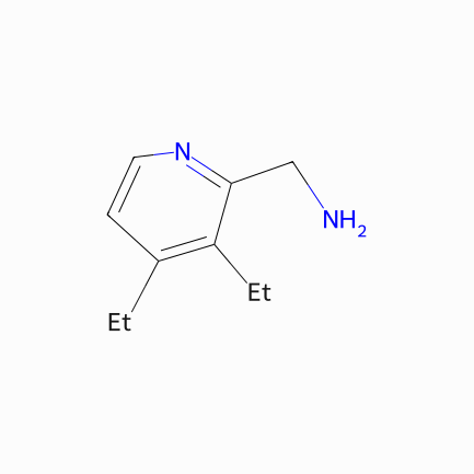 CCc1ccnc(CN)c1CC